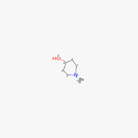 CC[C@@H](C)N1CCC(O)CC1